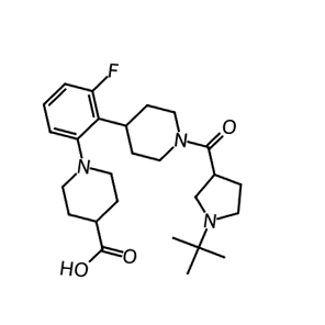 CC(C)(C)N1CCC(C(=O)N2CCC(c3c(F)cccc3N3CCC(C(=O)O)CC3)CC2)C1